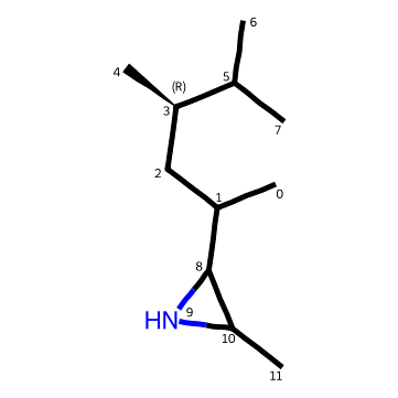 CC(C[C@@H](C)C(C)C)C1NC1C